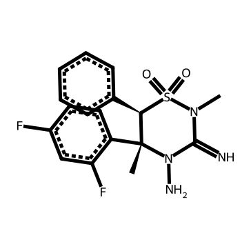 CN1C(=N)N(N)[C@](C)(c2ccc(F)cc2F)[C@@H](c2ccccc2)S1(=O)=O